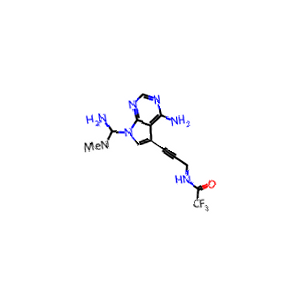 CNC(N)n1cc(C#CCNC(=O)C(F)(F)F)c2c(N)ncnc21